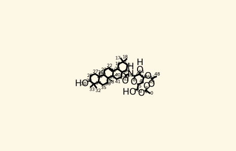 CC(=O)O[C@@H]1C(CO)O[C@H](NC(=O)[C@]23CCC(C)(C)CC2C2=CCC4[C@@]5(C)CC[C@H](O)C(C)(C)C5CC[C@@]4(C)[C@]2(C)CC3)C(O)[C@@H]1OC(C)=O